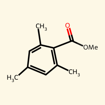 [CH2]OC(=O)c1c(C)cc(C)cc1C